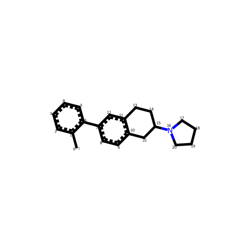 [CH]c1ccccc1-c1ccc2c(c1)CCC(N1CCCC1)C2